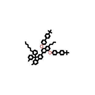 CCCCCCc1cccc(C2(c3cccc(C)c3)c3cc(C)ccc3-c3ccc(-c4cc(Oc5ccc(-c6ccc(C(C)(C)C)cc6)cc5)c5cc(CCCC)cc(Oc6ccc(-c7ccc(C(C)(C)C)cc7)cc6)c5c4)cc32)c1